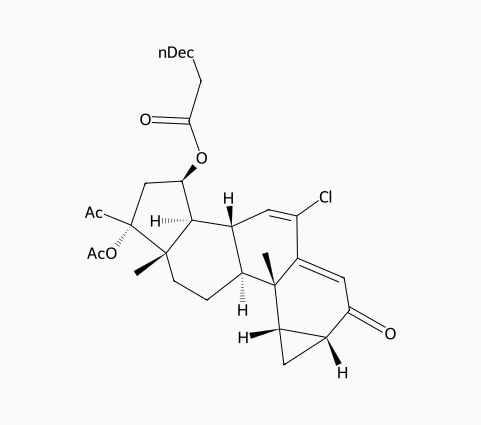 CCCCCCCCCCCC(=O)O[C@@H]1C[C@](OC(C)=O)(C(C)=O)[C@@]2(C)CC[C@H]3[C@@H](C=C(Cl)C4=CC(=O)[C@@H]5C[C@@H]5[C@@]43C)[C@H]12